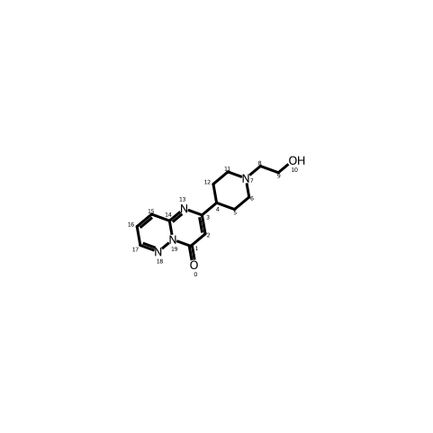 O=c1cc(C2CCN(CCO)CC2)nc2cccnn12